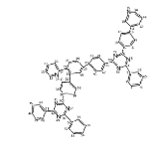 c1ccc(-c2nc(-c3ccc(-c4cccnc4)cc3)nc(-c3ccc(-c4ccc(-c5ccccn5)c(-c5ccc(-c6nc(-c7ccccc7)nc(-c7ccccc7)n6)cc5)c4)cc3)n2)cc1